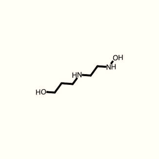 OCCCNCCNO